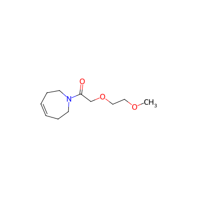 COCCOCC(=O)N1CCC=CCC1